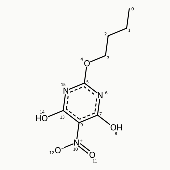 CCCCOc1nc(O)c([N+](=O)[O-])c(O)n1